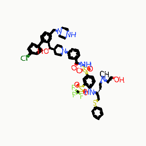 CN(CCO)CC[C@H](CSc1ccccc1)Nc1ccc(S(=O)(=O)NC(=O)c2cccc(N3CCC([C@@H](O)c4cc(CN5CCNCC5)ccc4-c4ccc(Cl)cc4)CC3)c2)cc1S(=O)(=O)C(F)(F)F